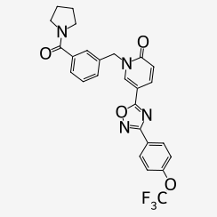 O=C(c1cccc(Cn2cc(-c3nc(-c4ccc(OC(F)(F)F)cc4)no3)ccc2=O)c1)N1CCCC1